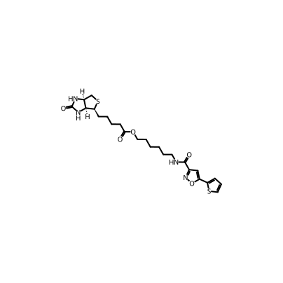 O=C1N[C@H]2[C@H](CS[C@H]2CCCCC(=O)OCCCCCCNC(=O)c2cc(-c3cccs3)on2)N1